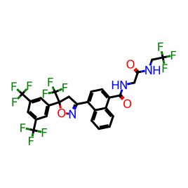 O=C(CNC(=O)c1ccc(C2=NOC(c3cc(C(F)(F)F)cc(C(F)(F)F)c3)(C(F)(F)F)C2)c2ccccc12)NCC(F)(F)F